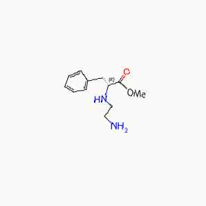 COC(=O)[C@@H](Cc1ccccc1)NCCN